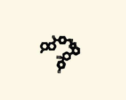 CN1CCCC2(CCCN(C(=O)c3ccc(Nc4nc5c(N6CCC(O)(c7ccc(Cl)cc7)CC6)cccn5n4)cc3)C2)C1